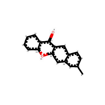 Cc1ccc2cc3c(=O)c4ccccc4oc3cc2c1